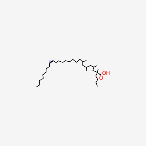 CCCCCCCC/C=C\CCCCCCCCC(C)CC(C)CC(C)CC(C)(CCCC)C(=O)O